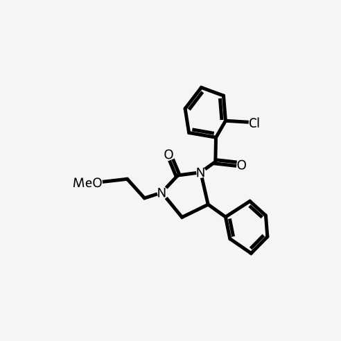 COCCN1CC(c2ccccc2)N(C(=O)c2ccccc2Cl)C1=O